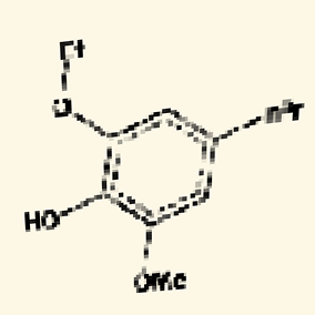 CCCc1cc(OC)c(O)c(OCC)c1